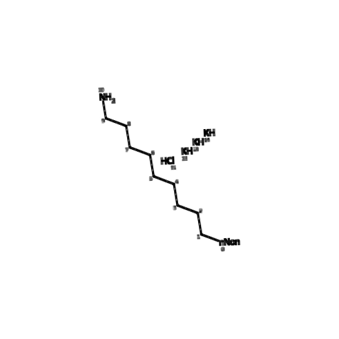 CCCCCCCCCCCCCCCCCCN.Cl.[KH].[KH].[KH]